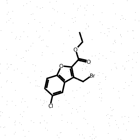 CCOC(=O)c1oc2ccc(Cl)cc2c1CBr